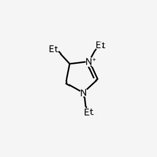 CCC1CN(CC)C=[N+]1CC